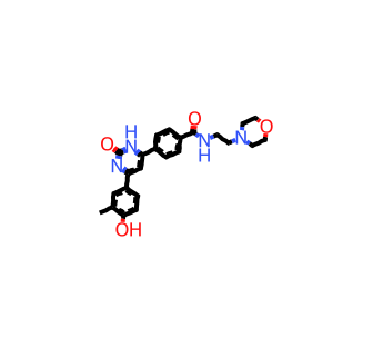 Cc1cc(-c2cc(-c3ccc(C(=O)NCCN4CCOCC4)cc3)[nH]c(=O)n2)ccc1O